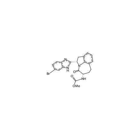 COC(=O)N[C@H]1CCc2cccc3c2N(C1=O)[C@H](c1nc2ccc(Br)cc2[nH]1)C3